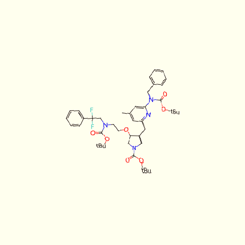 Cc1cc(CC2CN(C(=O)OC(C)(C)C)CC2OCCN(CC(F)(F)c2ccccc2)C(=O)OC(C)(C)C)nc(N(Cc2ccccc2)C(=O)OC(C)(C)C)c1